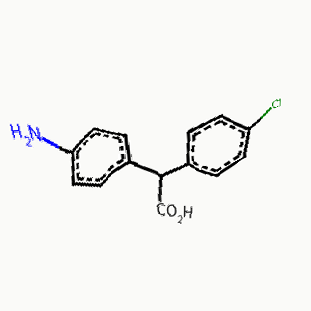 Nc1ccc(C(C(=O)O)c2ccc(Cl)cc2)cc1